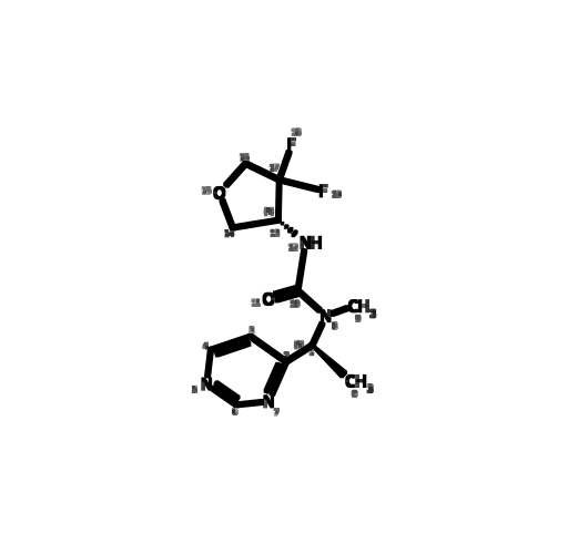 C[C@@H](c1ccncn1)N(C)C(=O)N[C@@H]1COCC1(F)F